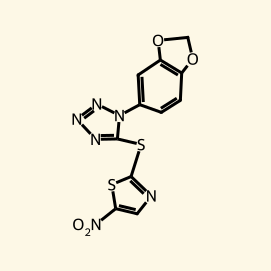 O=[N+]([O-])c1cnc(Sc2nnnn2-c2ccc3c(c2)OCO3)s1